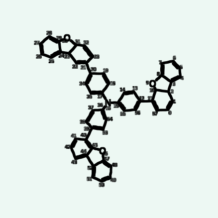 C1=CC2c3ccccc3OC2C(c2ccc(N(c3ccc(C4=CC5c6ccccc6OC5C=C4)cc3)c3ccc(-c4cccc5c4oc4ccccc45)cc3)cc2)=C1